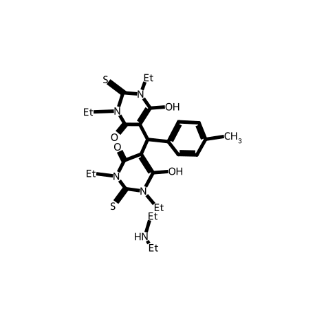 CCNCC.CCn1c(O)c(C(c2ccc(C)cc2)c2c(O)n(CC)c(=S)n(CC)c2=O)c(=O)n(CC)c1=S